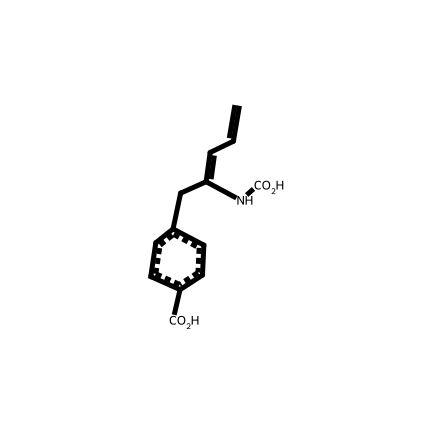 C=CC=C(Cc1ccc(C(=O)O)cc1)NC(=O)O